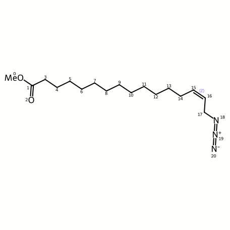 COC(=O)CCCCCCCCCCCC/C=C\CN=[N+]=[N-]